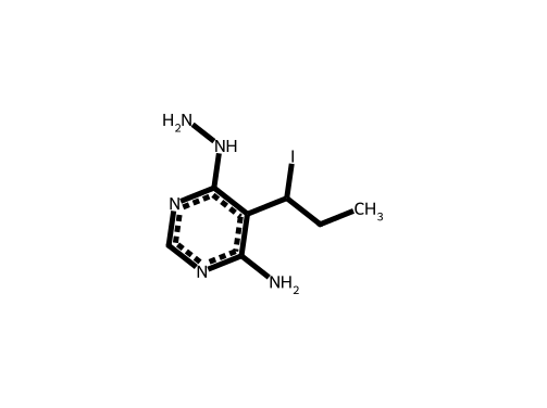 CCC(I)c1c(N)ncnc1NN